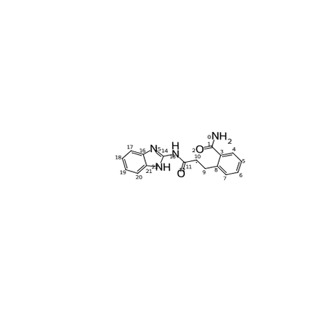 NC(=O)c1ccccc1C[CH]C(=O)Nc1nc2ccccc2[nH]1